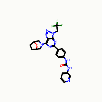 O=C(Nc1ccc(-c2nc(N3CC4CCC(C3)O4)c3nnn(CC(F)(F)F)c3n2)cc1)Nc1cccnc1